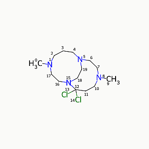 CN1CCCN2CCN(C)CCC(Cl)(Cl)N(CC1)CC2